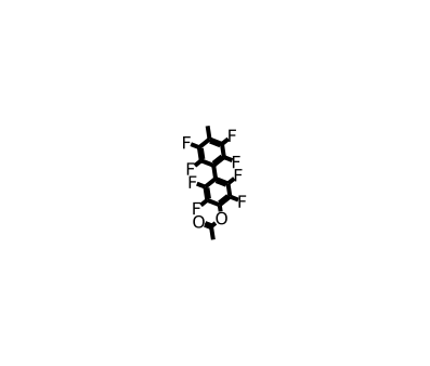 CC(=O)Oc1c(F)c(F)c(-c2c(F)c(F)c(C)c(F)c2F)c(F)c1F